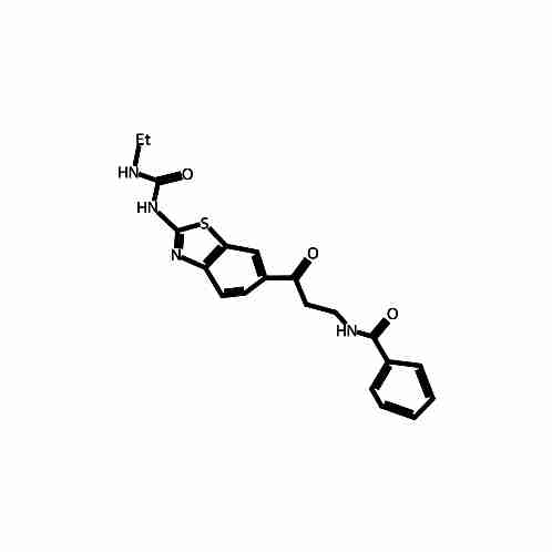 CCNC(=O)Nc1nc2ccc(C(=O)CCNC(=O)c3ccccc3)cc2s1